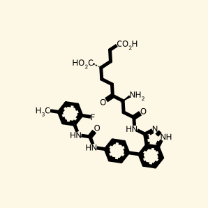 Cc1ccc(F)c(NC(=O)Nc2ccc(-c3cccc4[nH]nc(NC(=O)C[C@H](N)C(=O)CC[C@@H](CCC(=O)O)C(=O)O)c34)cc2)c1